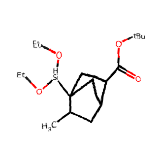 CCO[SiH](OCC)C12CC(CC1C)C(C(=O)OC(C)(C)C)C2